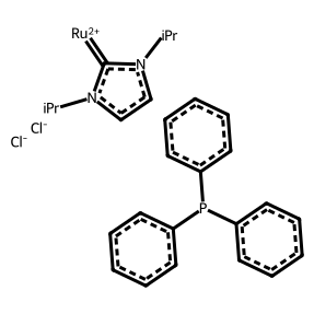 CC(C)n1ccn(C(C)C)[c]1=[Ru+2].[Cl-].[Cl-].c1ccc(P(c2ccccc2)c2ccccc2)cc1